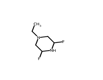 CCN1CC(F)NC(F)C1